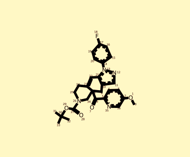 COc1ccc(C(=O)C23Cc4cnn(-c5ccc(F)cc5)c4C=C2CCN(C(=O)OC(C)(C)C)C3)nc1